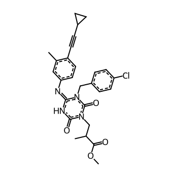 COC(=O)C(C)Cn1c(=O)[nH]c(=Nc2ccc(C#CC3CC3)c(C)c2)n(Cc2ccc(Cl)cc2)c1=O